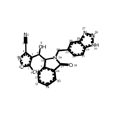 Cc1onc(C#N)c1C(O)C1c2ccccc2C(=O)N1Cc1ccc2[nH]nnc2c1